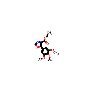 CCOC(=O)c1ncoc1-c1cc(OC)c(OC)c(OC)c1